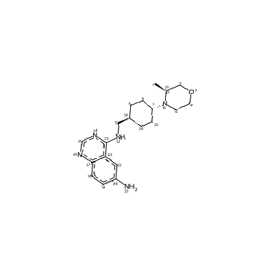 C[C@H]1COCCN1[C@H]1CC[C@H](CNc2ncnc3ccc(N)cc23)CC1